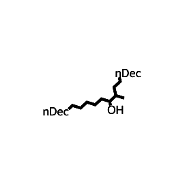 CCCCCCCCCCCCCCCC(O)C(C)CCCCCCCCCCCC